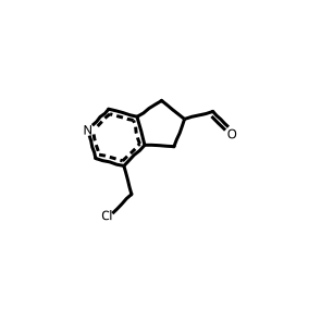 O=CC1Cc2cncc(CCl)c2C1